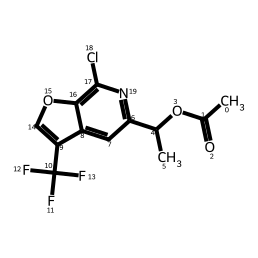 CC(=O)OC(C)c1cc2c(C(F)(F)F)coc2c(Cl)n1